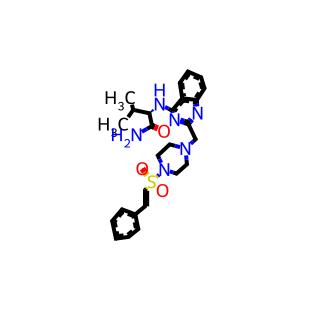 CC(C)[C@H](Nc1nc(CN2CCN(S(=O)(=O)/C=C/c3ccccc3)CC2)nc2ccccc12)C(N)=O